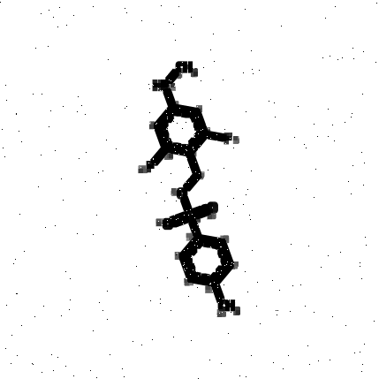 CBc1cc(F)c(COS(=O)(=O)c2ccc(C)cc2)c(F)c1